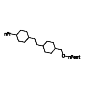 CCCCCOCC1CCC(CCC2CCC(CCC)CC2)CC1